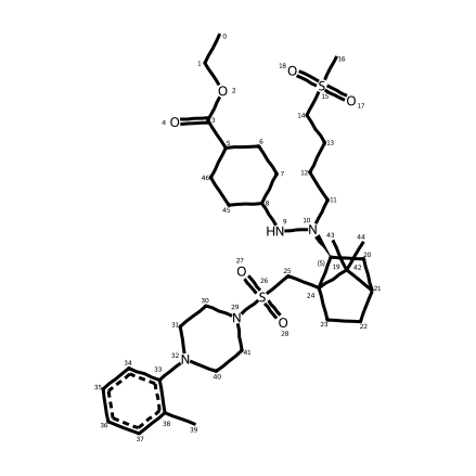 CCOC(=O)C1CCC(NN(CCCCS(C)(=O)=O)[C@H]2CC3CCC2(CS(=O)(=O)N2CCN(c4ccccc4C)CC2)C3(C)C)CC1